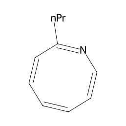 CCCC1=N/C=C\C=C/C=C\1